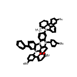 CC(C)(C)c1ccc(N2c3cc(N4c5ccccc5C5(c6ccc(C(C)(C)C)cc6)CCCCC45C)ccc3B3c4ccc(-c5ccccc5)cc4N(c4ccc(C(C)(C)C)cc4-c4ccccc4)c4cc(C(C)(C)C)cc2c43)cc1